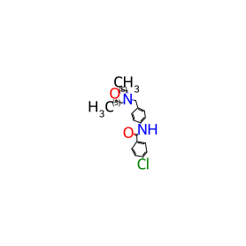 C[C@H]1CN(Cc2ccc(NC(=O)c3ccc(Cl)cc3)cc2)C[C@H](C)O1